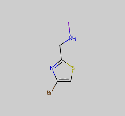 Brc1csc(CNI)n1